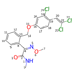 CNC(=O)C(=NOC)c1ccccc1COc1ccc(C=C(Cl)Cl)c(Cl)c1